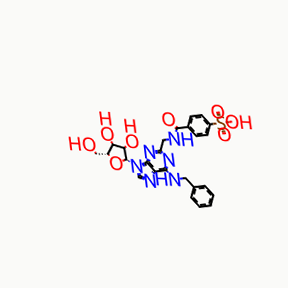 O=C(NCc1nc(NCc2ccccc2)c2ncn([C@@H]3O[C@H](CO)[C@@H](O)[C@H]3O)c2n1)c1ccc(S(=O)(=O)O)cc1